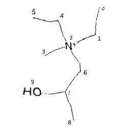 CC[N+](C)(CC)CC(C)O